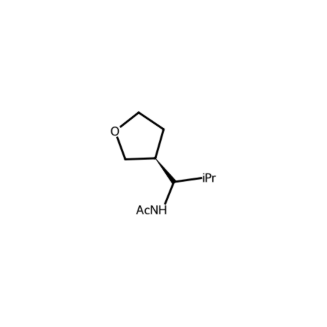 CC(=O)NC(C(C)C)[C@@H]1CCOC1